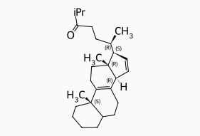 CC(C)C(=O)CC[C@@H](C)[C@H]1C=C[C@H]2C3=C(CC[C@]12C)[C@@]1(C)CCCCC1CC3